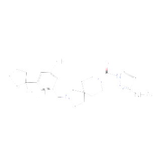 CC(=O)Nc1ccn(C(=O)N2CCC3(CCN(Cc4cc(C(F)(F)F)cc(C5(C(=O)O)CCCC5)c4)C3)CC2)n1